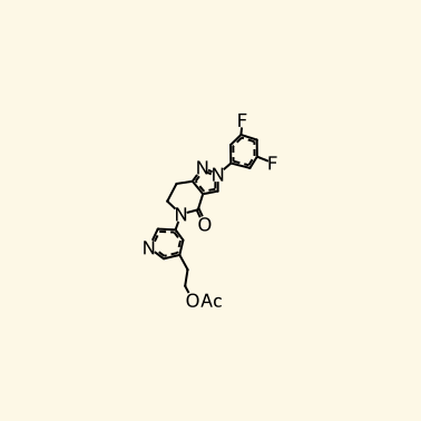 CC(=O)OCCc1cncc(N2CCc3nn(-c4cc(F)cc(F)c4)cc3C2=O)c1